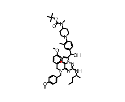 CCCC(C)Nc1nc(N(Cc2ccc(OC)cc2)Cc2ccc(OC)cc2)c2ncc(C(O)c3ccc(N4CCC(N(C)C(=O)OC(C)(C)C)CC4)c(C)c3)n2n1